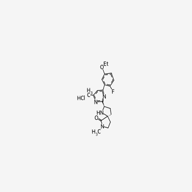 CCOc1ccc(F)c(-c2cc(C)nc([C@H]3CC[C@@]4(CCN(C)C4=O)N3)n2)c1.Cl